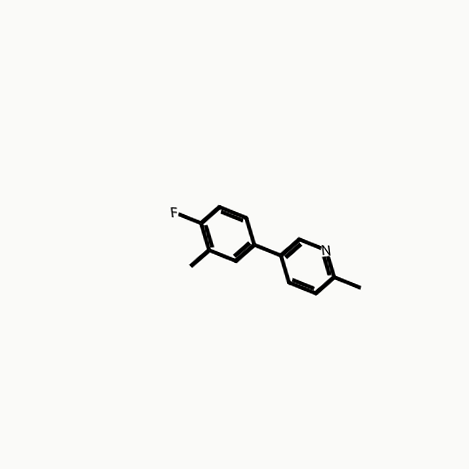 Cc1ccc(-c2ccc(F)c(C)c2)cn1